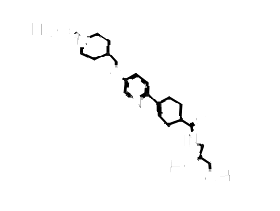 O=C(NCC(O)CO)C1CC=C(c2ccc(OCC3CCN(C(=O)O)CC3)cn2)CC1